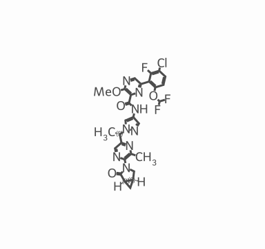 COc1ncc(-c2c(OC(F)F)ccc(Cl)c2F)nc1C(=O)Nc1cnn([C@@H](C)c2cnc(N3C[C@H]4C[C@H]4C3=O)c(C)n2)c1